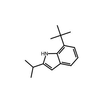 CC(C)c1cc2cccc(C(C)(C)C)c2[nH]1